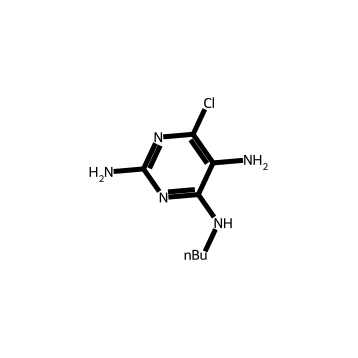 CCCCNc1nc(N)nc(Cl)c1N